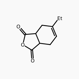 CCC1=CCC2C(=O)OC(=O)C2C1